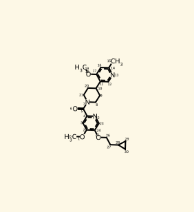 COc1cc(C(=O)N2CCC(c3cnc(C)cc3OC)CC2)ncc1OCCC1CC1